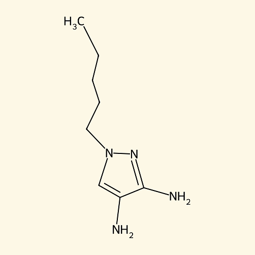 CCCCCn1cc(N)c(N)n1